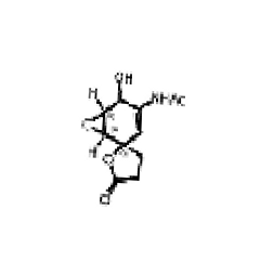 CC(=O)NC1=C[C@@]2(CCC(=O)O2)[C@@H]2O[C@@H]2C1O